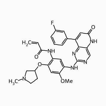 C=CC(=O)Nc1cc(Nc2ncc3[nH]c(=O)cc(-c4cccc(F)c4)c3n2)c(OC)cc1OC1CCN(C)C1